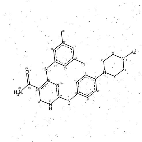 CC(=O)N1CCN(c2ccc(NC3=NC(Nc4cc(C)cc(C)c4)=C(C(N)=O)CN3)cc2)CC1